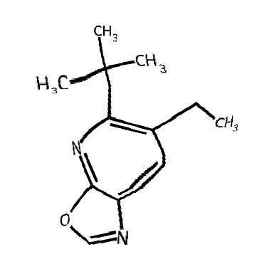 CCc1cc2ncoc2nc1C(C)(C)C